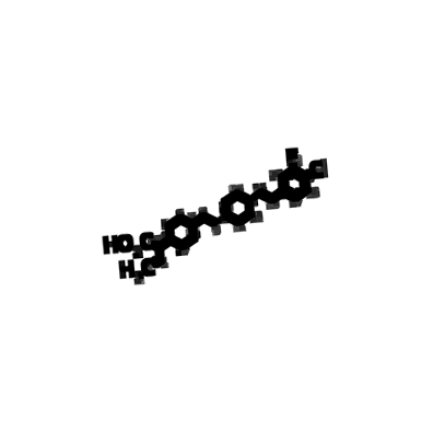 C=CC(C(=O)O)C1CCC(CC[C@H]2CC[C@H](CCc3ccc(Cl)c(F)c3)CC2)CC1